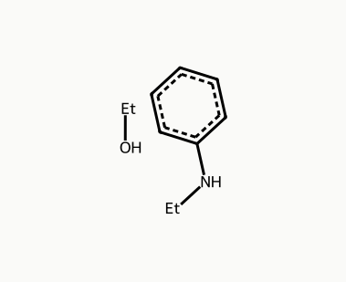 CCNc1ccccc1.CCO